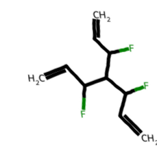 C=CC(F)[C](C(F)C=C)C(F)C=C